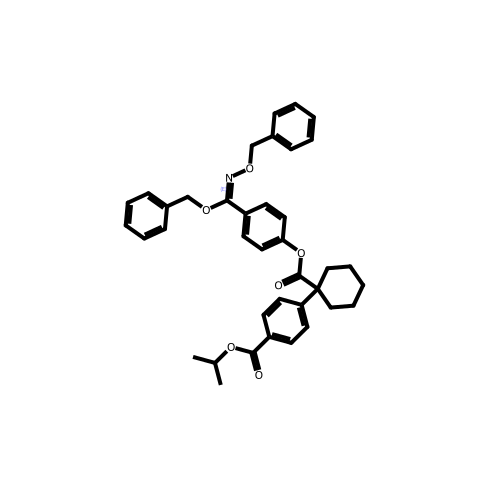 CC(C)OC(=O)c1ccc(C2(C(=O)Oc3ccc(/C(=N\OCc4ccccc4)OCc4ccccc4)cc3)CCCCC2)cc1